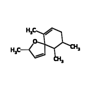 CC1=CCC(C)C(C)C12C=CC(C)O2